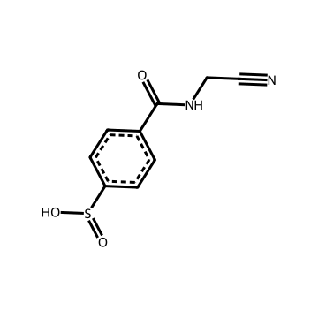 N#CCNC(=O)c1ccc(S(=O)O)cc1